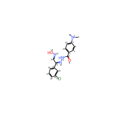 CN(C)c1ccc(C(=O)NN=C(C=NO)c2cccc(Cl)c2)cc1